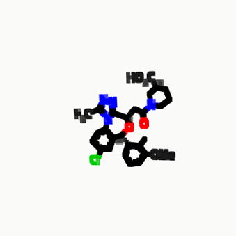 COc1cccc([C@H]2O[C@H](CC(=O)N3CCC[C@H](C(=O)O)C3)c3nnc(C(F)(F)F)n3-c3ccc(Cl)cc32)c1C